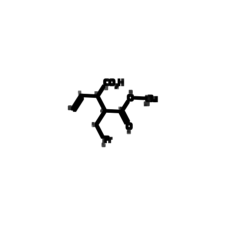 C=CC(C(=O)O)C(CC(C)C)C(=O)OC(C)(C)C